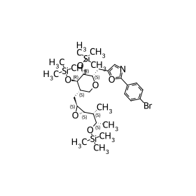 C[C@@H]([C@@H]1O[C@H]1C[C@H]1CO[C@@H](Cc2cnc(-c3ccc(Br)cc3)o2)[C@@H](O[Si](C)(C)C)[C@@H]1O[Si](C)(C)C)[C@H](C)O[Si](C)(C)C